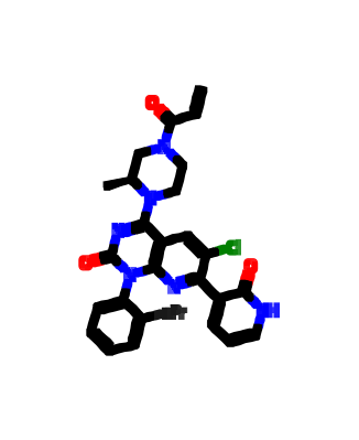 C=CC(=O)N1CCN(c2nc(=O)n(-c3ccccc3CCC)c3nc(-c4ccc[nH]c4=O)c(Cl)cc23)[C@@H](C)C1